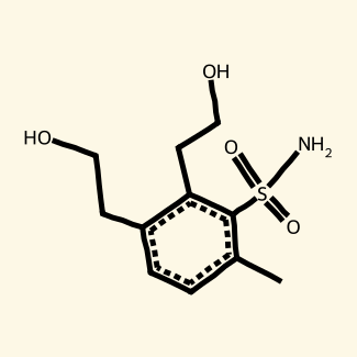 Cc1ccc(CCO)c(CCO)c1S(N)(=O)=O